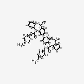 CN1CCN(CC(=O)N2c3ccccc3C(=O)Nc3cccnc32)CC1.CN1CCN(CC(=O)N2c3ccccc3C(=O)Nc3cccnc32)CC1